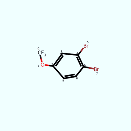 FC(F)(F)Oc1[c]c(Br)c(Br)cc1